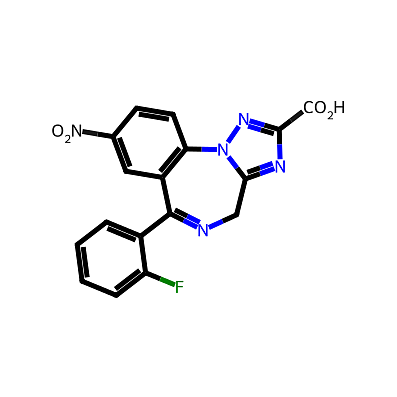 O=C(O)c1nc2n(n1)-c1ccc([N+](=O)[O-])cc1C(c1ccccc1F)=NC2